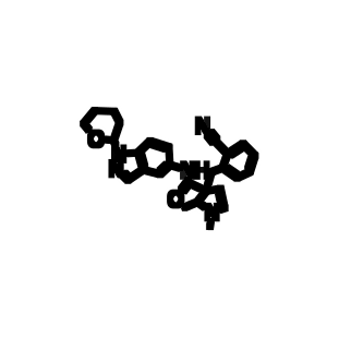 CC1N(C)C=CC1(Cc1ccccc1C#N)C(=O)Nc1ccc2c(cnn2C2CCCCO2)c1